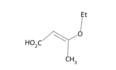 CCOC(C)=CC(=O)O